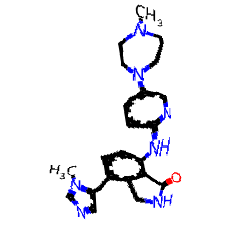 CN1CCN(c2ccc(Nc3ccc(-c4cncn4C)c4c3C(=O)NC4)nc2)CC1